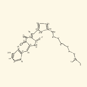 CN(C)CCCCCCOc1ccc(C=c2[nH]c(=O)c(=Cc3ccccc3)[nH]c2=O)s1